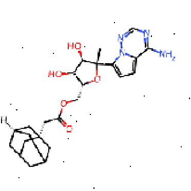 C[C@@]1(c2ccc3c(N)ncnn23)O[C@H](COC(=O)C[C@]23CC4CC(C[C@@H](C4)C2)C3)[C@@H](O)[C@H]1O